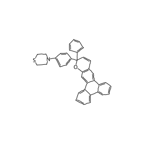 C1=CC(c2ccccc2)(c2ccc(N3CCSCC3)cc2)Oc2cc3c4ccccc4c4ccccc4c3cc21